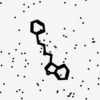 c1ccc(CCSCc2coc3ccccc23)cc1